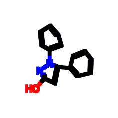 Oc1cc(-c2ccccc2)n(-c2ccccc2)n1